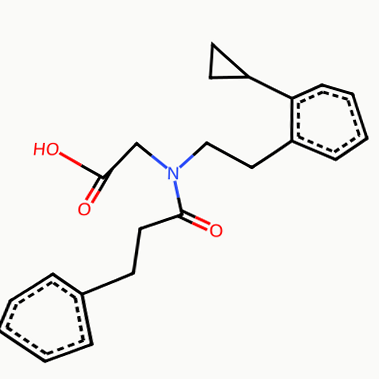 O=C(O)CN(CCc1ccccc1C1CC1)C(=O)CCc1ccccc1